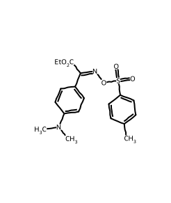 CCOC(=O)C(=NOS(=O)(=O)c1ccc(C)cc1)c1ccc(N(C)C)cc1